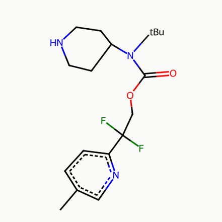 Cc1ccc(C(F)(F)COC(=O)N(C2CCNCC2)C(C)(C)C)nc1